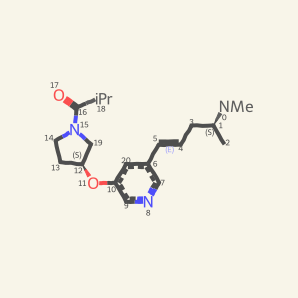 CN[C@@H](C)C/C=C/c1cncc(O[C@H]2CCN(C(=O)C(C)C)C2)c1